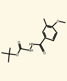 COc1ccc(C(=O)NNC(=O)OC(C)(C)C)cc1C